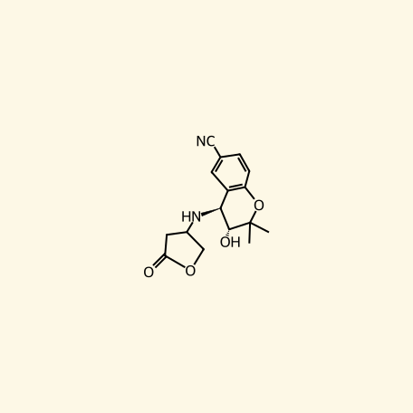 CC1(C)Oc2ccc(C#N)cc2[C@H](NC2COC(=O)C2)[C@H]1O